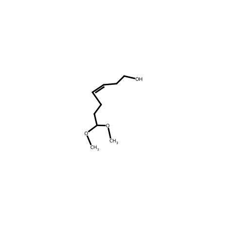 COC(CC/C=C\CCO)OC